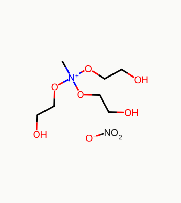 C[N+](OCCO)(OCCO)OCCO.O=[N+]([O-])[O-]